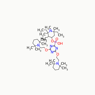 CCC1(C)CC(OP(=O)(O)c2nc(OCCN3C(C)(C)CCCC3(C)C)nc(OCCN3C(C)(C)CCCC3(C)C)n2)C(C)C(C)(CC)N1C